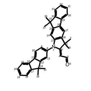 CC1(C)/C(=C\C=O)N(c2ccc3c(c2)C(C)(C)c2ccccc2-3)c2cc3c(cc21)-c1ccccc1C3(C)C